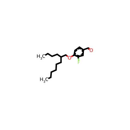 CCCCCCC(CCCC)COc1ccc(C=O)cc1F